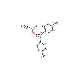 CC(C)c1ccc(C2C(OC(=O)C(=O)O)C2c2ccc(C(C)C)cc2)cc1